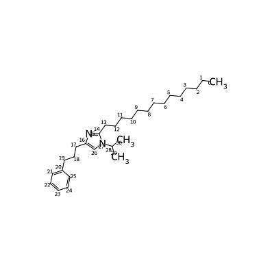 CCCCCCCCCCCCCCc1nc(CCCc2ccccc2)cn1C(C)C